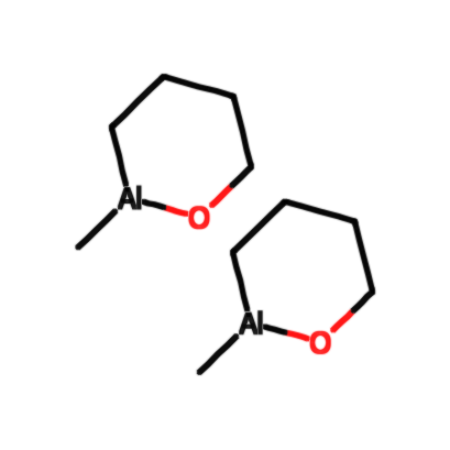 [CH3][Al]1[CH2]CCC[O]1.[CH3][Al]1[CH2]CCC[O]1